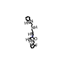 N=C/C(=C\NCCNCCc1nc2ccccc2[nH]1)C(=O)NCc1ncccc1F